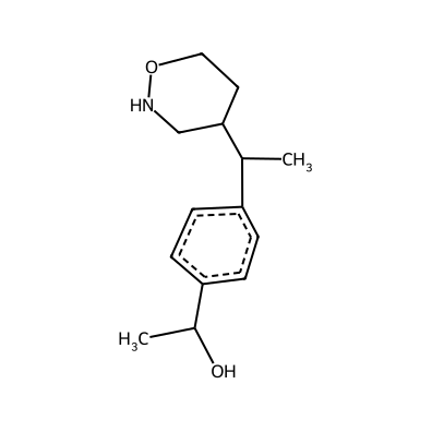 CC(O)c1ccc(C(C)C2CCONC2)cc1